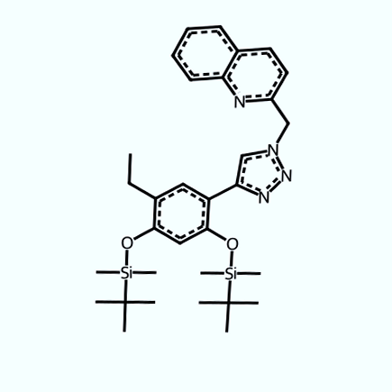 CCc1cc(-c2cn(Cc3ccc4ccccc4n3)nn2)c(O[Si](C)(C)C(C)(C)C)cc1O[Si](C)(C)C(C)(C)C